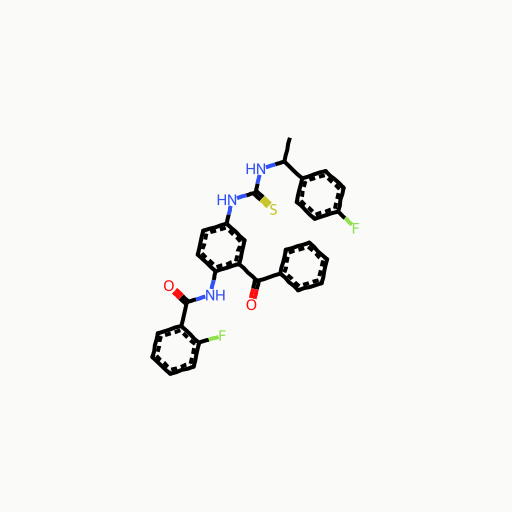 CC(NC(=S)Nc1ccc(NC(=O)c2ccccc2F)c(C(=O)c2ccccc2)c1)c1ccc(F)cc1